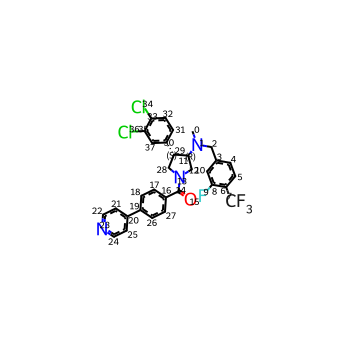 CN(Cc1ccc(C(F)(F)F)c(F)c1)[C@H]1CN(C(=O)c2ccc(-c3ccncc3)cc2)C[C@@H]1c1ccc(Cl)c(Cl)c1